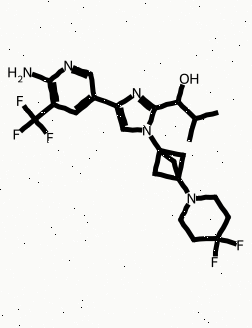 CC(C)C(O)c1nc(-c2cnc(N)c(C(F)(F)F)c2)cn1C12CC(N3CCC(F)(F)CC3)(C1)C2